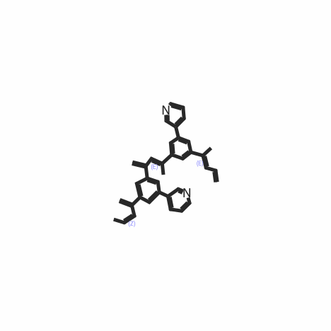 C=C/C=C(\C)c1cc(/C(C)=C/C(=C)c2cc(C(=C)/C=C\C)cc(-c3cccnc3)c2)cc(-c2cccnc2)c1